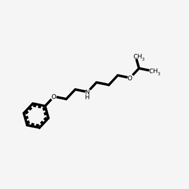 CC(C)OCCCNCCOc1c[c]ccc1